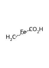 C=CCCCCCCCCC(=O)O.[Fe]